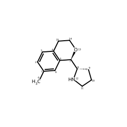 Cc1ccc2c(c1)[C@H]([C@@H]1CCCN1)OCC2